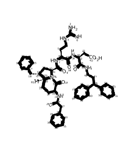 N=C(N)NCC[C@H](NC(=O)[C@@H]1C[C@@H](Cc2ccccc2)[C@@H]2CCC(NC(=O)Cc3ccccc3)C(=O)N12)C(=O)N[C@@H](CC(=O)O)C(=O)NCCC(c1ccccc1)c1ccccc1